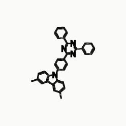 Cc1ccc2c(c1)c1cc(C)ccc1n2-c1ccc(-c2nc(-c3ccccc3)nc(-c3ccccc3)n2)cc1